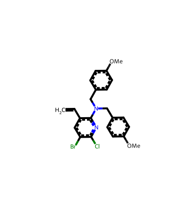 C=Cc1cc(Br)c(Cl)nc1N(Cc1ccc(OC)cc1)Cc1ccc(OC)cc1